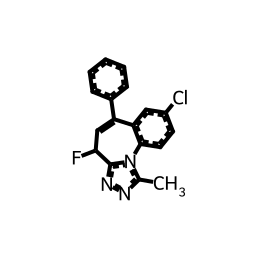 Cc1nnc2n1-c1ccc(Cl)cc1C(c1ccccc1)=CC2F